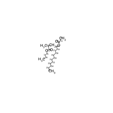 C=C(C)C(=O)OCCCC.C=CC(=O)OCCCCCCCCCCCC